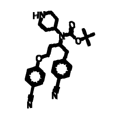 CC(C)(C)OC(=O)N(C1CCNCC1)C(CCOc1ccc(C#N)cc1)Cc1ccc(C#N)cc1